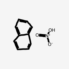 O=[N+]([O-])O.c1ccc2ccccc2c1